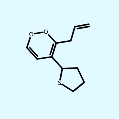 C=CCC1=C(C2CCCS2)C=COO1